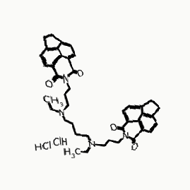 CCN(CCCCN(CC)CCCN1C(=O)c2ccc3c4c(ccc(c24)C1=O)CC3)CCCN1C(=O)c2ccc3c4c(ccc(c24)C1=O)CC3.Cl.Cl